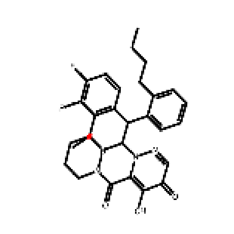 CCCCc1ccccc1C(c1ccc(F)c(F)c1CC)C1N2CCCCN2C(=O)c2c(O)c(=O)cnn21